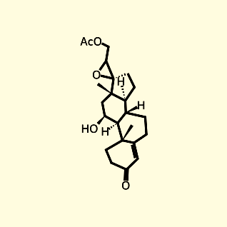 CC(=O)OCC1O[C@@]12CC[C@H]1[C@@H]3CCC4=CC(=O)CC[C@]4(C)[C@H]3[C@@H](O)C[C@@]12C